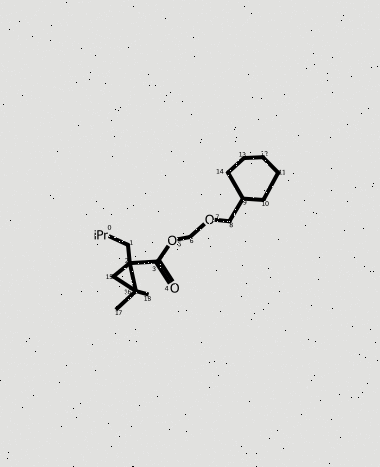 CC(C)CC1(C(=O)OCOCC2CCCCC2)CC1(C)C